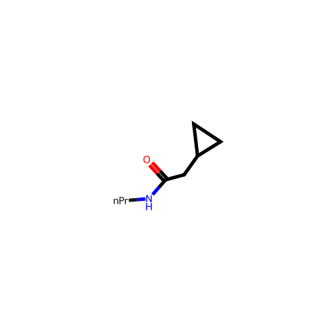 CCCNC(=O)CC1CC1